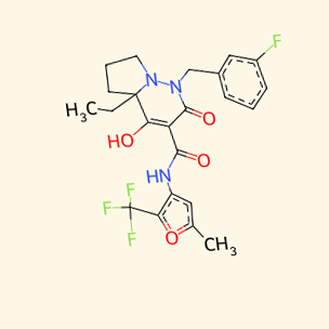 CCC12CCCN1N(Cc1cccc(F)c1)C(=O)C(C(=O)Nc1cc(C)oc1C(F)(F)F)=C2O